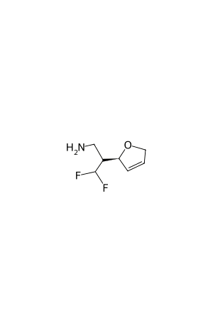 NCC(C(F)F)[C@@H]1C=CCO1